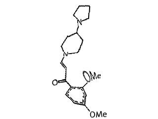 COc1ccc(C(=O)C=CN2CCC(N3CCCC3)CC2)c(OC)c1